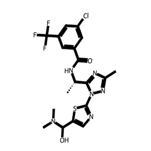 Cc1nc([C@H](C)NC(=O)c2cc(Cl)cc(C(F)(F)F)c2)n(-c2ncc(C(O)N(C)C)s2)n1